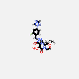 CC1(C)OCCn2c1nc(C(=O)NCc1ccc(-n3cncn3)cc1F)c(O)c2=O